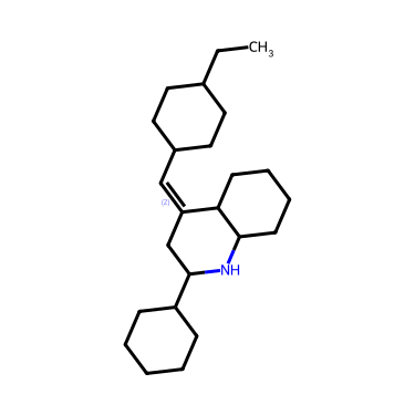 CCC1CCC(/C=C2/CC(C3CCCCC3)NC3CCCCC23)CC1